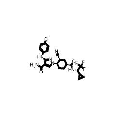 N#C[C@H]1C[C@@H](C(=O)N[C@@H](C2CC2)C(F)(F)F)CC[C@H]1n1cc(C(N)=O)c(Nc2ccc(Cl)cc2)n1